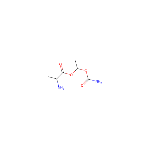 CC(OC(N)=O)OC(=O)C(C)N